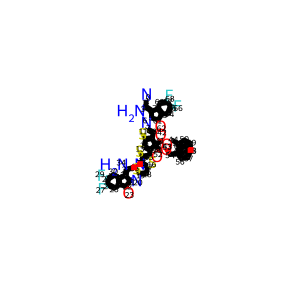 N#C/C(N)=C1/C(=N/c2cc3c(s2)-c2sc4c(sc5cc(/N=C6/C(=O)c7cc(F)c(F)cc7/C6=C(\N)C#N)sc54)c2C3(C(=O)OCc2ccccc2)C(=O)OCc2ccccc2)C(=O)c2cc(F)c(F)cc21